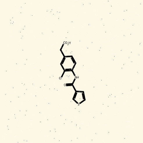 O=C(O)Cc1ccc(NC(=O)c2ccsc2)c(Cl)c1